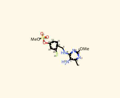 COc1nc(C)c(N)c(NCc2ccc(OS(=O)(=O)OC)cc2F)n1